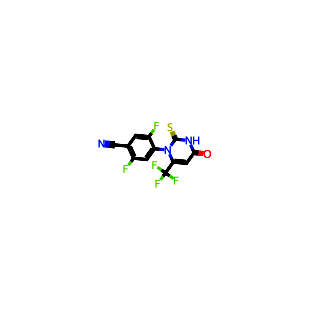 N#Cc1cc(F)c(-n2c(C(F)(F)F)cc(=O)[nH]c2=S)cc1F